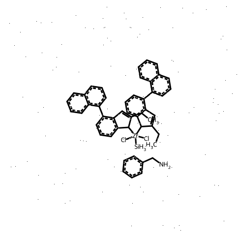 CCC1=Cc2c(-c3cccc4ccccc34)cccc2[CH]1[Zr]([SiH3])([Cl])([Cl])[CH]1C(CC)=Cc2c(-c3cccc4ccccc34)cccc21.NCc1cc[c]cc1